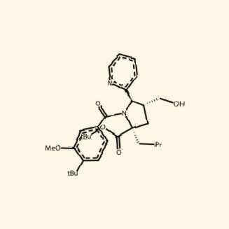 COc1cc(C(=O)N2[C@@H](c3ccccn3)[C@H](CO)C[C@@]2(CC(C)C)C(=O)OC(C)(C)C)ccc1C(C)(C)C